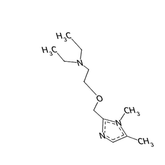 CCN(CC)CCOCc1ncc(C)n1C